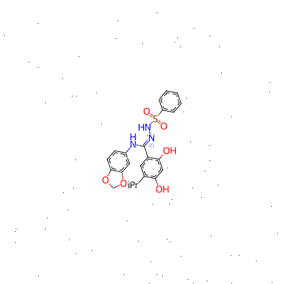 CC(C)c1cc(/C(=N/NS(=O)(=O)c2ccccc2)Nc2ccc3c(c2)OCO3)c(O)cc1O